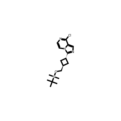 CC(C)(C)[Si](C)(C)OC[C@H]1C[C@H](c2ncc3c(Cl)nccn32)C1